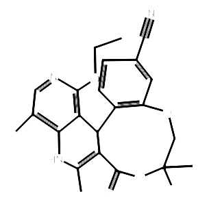 CCOc1ncc(C)c2c1C1C(=C(C)N2)C(=O)OC(C)(C)COc2cc(C#N)ccc21